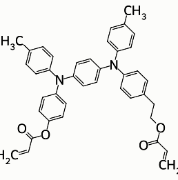 C=CC(=O)OCCc1ccc(N(c2ccc(C)cc2)c2ccc(N(c3ccc(C)cc3)c3ccc(OC(=O)C=C)cc3)cc2)cc1